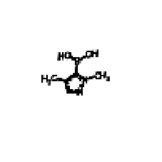 Cc1cnn(C)c1B(O)O